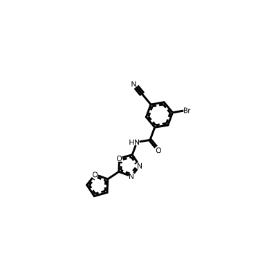 N#Cc1cc(Br)cc(C(=O)Nc2nnc(-c3ccco3)o2)c1